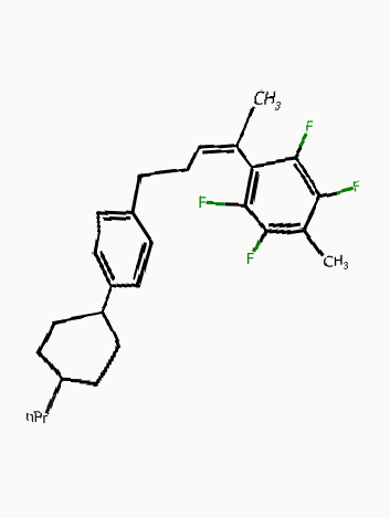 CCCC1CCC(c2ccc(CCC=C(C)c3c(F)c(F)c(C)c(F)c3F)cc2)CC1